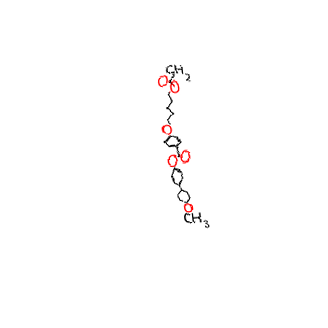 C=CC(=O)OCCCCCCOc1ccc(C(=O)Oc2ccc(C3CCC(OCC)CC3)cc2)cc1